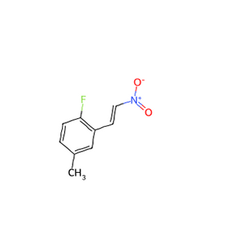 Cc1ccc(F)c(/C=C/[N+](=O)[O-])c1